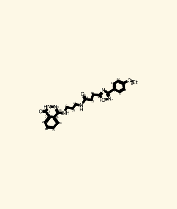 CCOc1ccc(-c2noc(CCC(=O)NCCCNc3n[nH]c(=O)c4ccccc34)n2)cc1